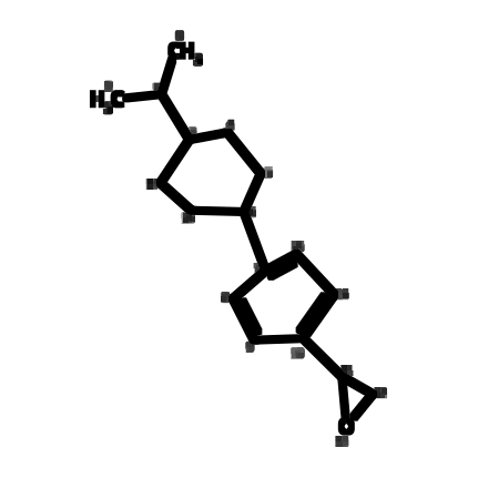 CC(C)C1CCC(c2ccc(C3CO3)cc2)CC1